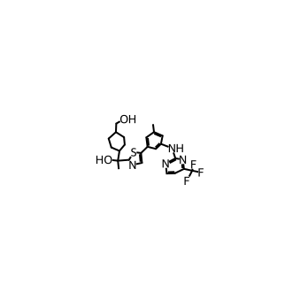 Cc1cc(Nc2nccc(C(F)(F)F)n2)cc(-c2cnc(C(C)(O)C3CCC(CO)CC3)s2)c1